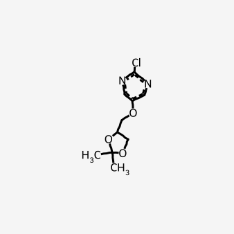 CC1(C)OCC(COc2cnc(Cl)nc2)O1